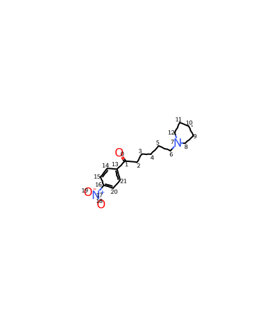 O=C(CCCCCN1CC[CH]CC1)c1ccc([N+](=O)[O-])cc1